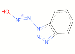 O/N=N/n1nnc2[c]cccc21